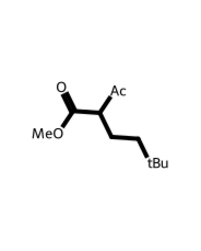 COC(=O)C(CCC(C)(C)C)C(C)=O